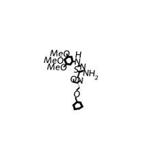 COc1cc(Nc2nc(N)c(C3=N[C@H](CCOCc4ccccc4)CO3)s2)cc(OC)c1OC